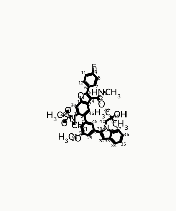 CNC(=O)c1c(-c2ccc(F)cc2)oc2cc(N(C)S(C)(=O)=O)c(-c3cc(OC)cc(-c4cc5ccccc5n4CC(C)(C)O)c3)cc12